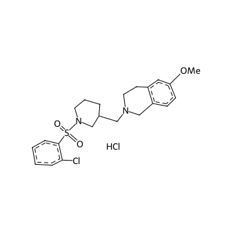 COc1ccc2c(c1)CCN(CC1CCCN(S(=O)(=O)c3ccccc3Cl)C1)C2.Cl